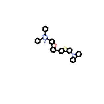 C1=Cc2c(n(-c3ccc4sc5cc(-c6cccc7c6oc6ccc(C8N=C(c9ccccc9)N=C(c9ccccc9)N8)cc67)ccc5c4c3)c3ccccc23)CC1